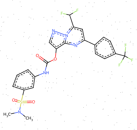 CN(C)S(=O)(=O)c1cccc(NC(=O)Oc2cnn3c(C(F)F)cc(-c4ccc(C(F)(F)F)cc4)nc23)c1